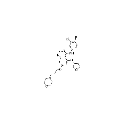 Fc1ccc(Nc2ncnc3cc(OCCCN4CCOCC4)cc(OC4CCOC4)c23)cc1Cl